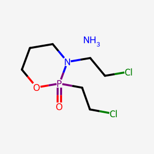 N.O=P1(CCCl)OCCCN1CCCl